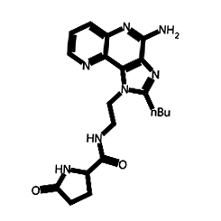 CCCCc1nc2c(N)nc3cccnc3c2n1CCNC(=O)C1CCC(=O)N1